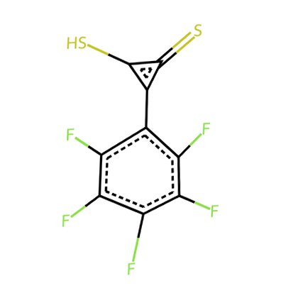 Fc1c(F)c(F)c(-c2c(S)c2=S)c(F)c1F